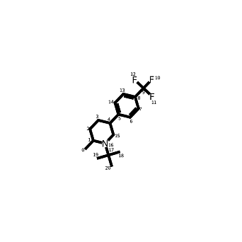 CC1CCC(c2ccc(C(F)(F)F)cc2)CN1C(C)(C)C